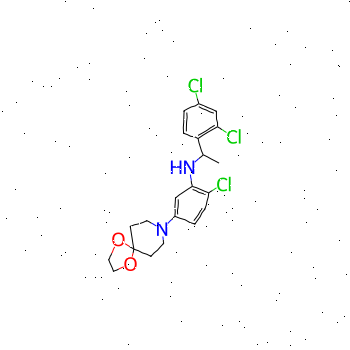 CC(Nc1cc(N2CCC3(CC2)OCCO3)ccc1Cl)c1ccc(Cl)cc1Cl